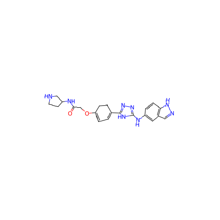 O=C(COC1=CC=C(c2nnc(Nc3ccc4[nH]ncc4c3)[nH]2)CC1)NC1CCNC1